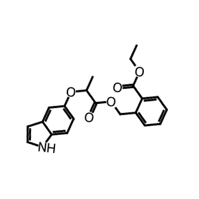 CCOC(=O)c1ccccc1COC(=O)C(C)Oc1ccc2[nH]ccc2c1